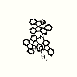 CC1(C)c2ccccc2-c2ccc(N(c3cccc4c3-c3ccccc3C43c4ccccc4-c4ccccc43)c3cc4ccccc4c4c3-c3ccccc3C43c4ccccc4-c4ccccc43)cc21